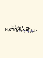 CC(=O)/C=C/C=C(C)/C=C/C=C(\C)CCC=C(C)C